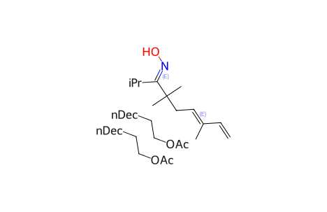 C=C/C(C)=C/CC(C)(C)/C(=N/O)C(C)C.CCCCCCCCCCCCOC(C)=O.CCCCCCCCCCCCOC(C)=O